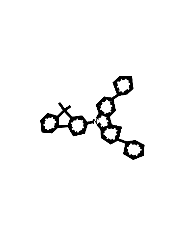 CC1(C)c2ccccc2-c2ccc(-n3c4ccc(-c5ccccc5)cc4c4cc(-c5ccccc5)ccc43)cc21